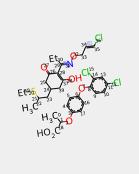 CC(Oc1ccc(Oc2ccc(Cl)cc2Cl)cc1)C(=O)O.CCSC(C)CC1CC(=O)C(/C(CC)=N/OC/C=C/Cl)=C(O)C1